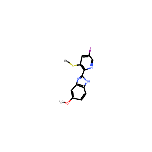 CCSc1cc(I)cnc1-c1nc2cc(OC(F)(F)F)ccc2[nH]1